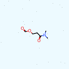 CN(C)C(=O)CCOC=O